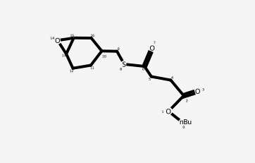 CCCCOC(=O)CCC(=O)SCC1CCC2OC2C1